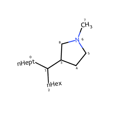 CCCCCCCC(CCCCCC)C1CCN(C)C1